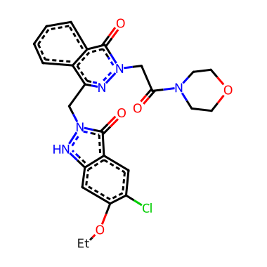 CCOc1cc2[nH]n(Cc3nn(CC(=O)N4CCOCC4)c(=O)c4ccccc34)c(=O)c2cc1Cl